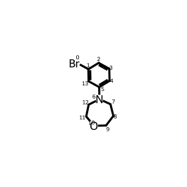 Brc1cccc(N2CCCOCC2)c1